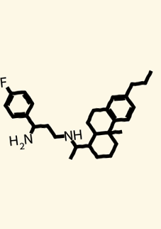 CCCc1ccc2c(c1)CCC1C(C(C)NCCC(N)c3ccc(F)cc3)CCCC21C